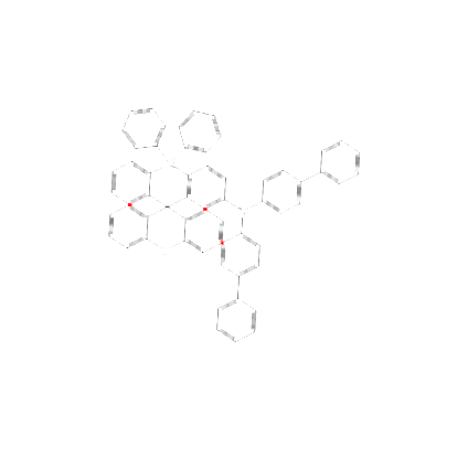 c1ccc(-c2ccc(N(c3ccc(-c4ccccc4)cc3)c3ccc4c(c3)C3(c5ccccc5Oc5ccccc53)c3ccccc3[Si]4(c3ccccc3)c3ccccc3)cc2)cc1